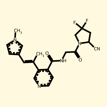 CC(=Cc1ccn(C)c1)c1cnccc1C(=O)NCC(=O)N1CC(F)(F)CC1C#N